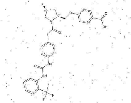 O=C(Nc1ccc(CC(=O)N2C[C@@H](F)C[C@H]2COc2ccc(C(=O)O)cc2)cc1)Nc1ccccc1C(F)(F)F